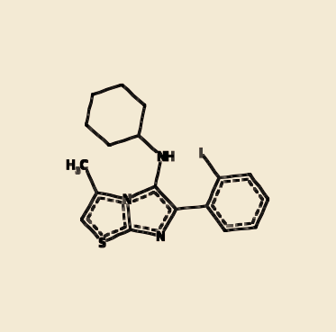 Cc1csc2nc(-c3ccccc3I)c(NC3CCCCC3)n12